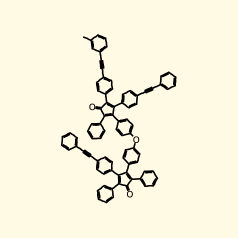 Cc1cccc(C#Cc2ccc(C3=C(c4ccc(C#Cc5ccccc5)cc4)C(c4ccc(Oc5ccc(C6=C(c7ccccc7)C(=O)C(c7ccccc7)=C6c6ccc(C#Cc7ccccc7)cc6)cc5)cc4)=C(c4ccccc4)C3=O)cc2)c1